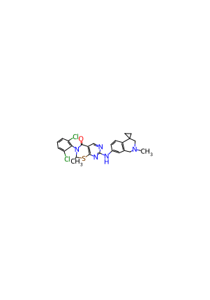 CC1Sc2nc(Nc3ccc4c(c3)CN(C)CC43CC3)ncc2C(=O)N1c1c(Cl)cccc1Cl